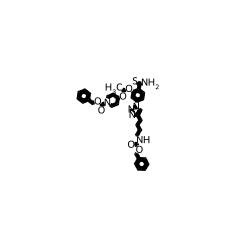 CC(Oc1cc(-n2cc(CCCCNC(=O)OCc3ccccc3)nn2)ccc1C(N)=S)OC1CCN(C(=O)OCc2ccccc2)CC1